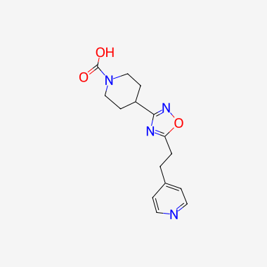 O=C(O)N1CCC(c2noc(CCc3ccncc3)n2)CC1